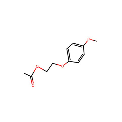 COc1ccc(OCCOC(C)=O)cc1